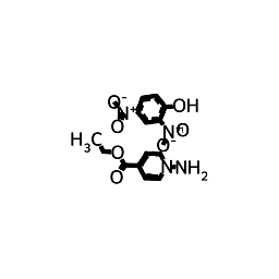 CCOC(=O)C1=CCN(N)C=C1.O=[N+]([O-])c1ccc(O)c([N+](=O)[O-])c1